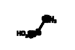 CCC(C(=O)OCCCCCCCCCCCCOC(=O)c1ccc(OS(=O)(=O)C(F)(F)C(F)(F)C(F)(F)S(=O)(=O)O)cc1)C(C)O